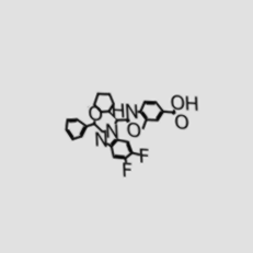 COC(c1ccccc1)c1nc2cc(F)c(F)cc2n1[C@H](C(=O)Nc1ccc(C(=O)O)cc1C)C1CCCCC1